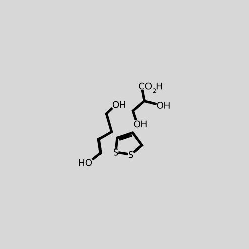 C1=CSSC1.O=C(O)C(O)CO.OCCCCO